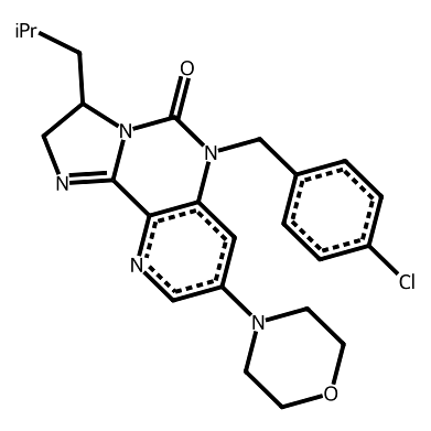 CC(C)CC1CN=C2c3ncc(N4CCOCC4)cc3N(Cc3ccc(Cl)cc3)C(=O)N21